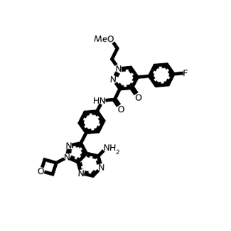 COCCn1cc(-c2ccc(F)cc2)c(=O)c(C(=O)Nc2ccc(-c3nn(C4COC4)c4ncnc(N)c34)cc2)n1